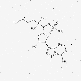 CCCC[Si](C)(C)C(OS(N)(=O)=O)[C@@H]1C[C@@H](O)[C@H](n2cnc3c(N)ncnc32)O1